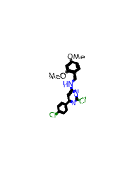 COc1ccc(CNc2cc(-c3ccc(Cl)cc3)nc(Cl)n2)c(OC)c1